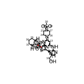 CN(c1nc(Nc2ncc(CO)s2)cc(N2CCN(S(C)(=O)=O)CC2)n1)[C@@H]1C[C@H]2CCC[C@@H](C1)N2S(=O)(=O)N1CC(C#N)C1